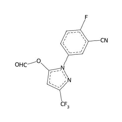 N#Cc1cc(-n2nc(C(F)(F)F)cc2OC=O)ccc1F